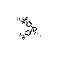 Cc1ccc(-c2ccc(S(C)(=O)=O)cc2)n1-c1ccc([S+](C)[O-])cc1